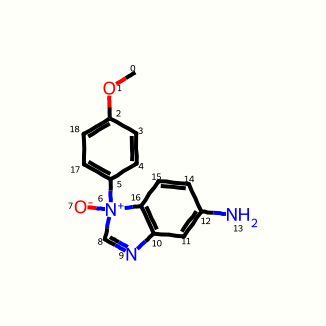 COc1ccc([N+]2([O-])C=Nc3cc(N)ccc32)cc1